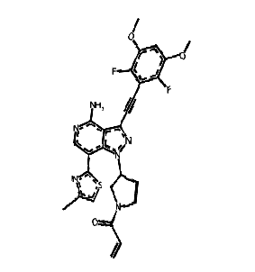 C=CC(=O)N1CCC(n2nc(C#Cc3c(F)c(OC)cc(OC)c3F)c3c(N)ncc(-c4nc(C)cs4)c32)C1